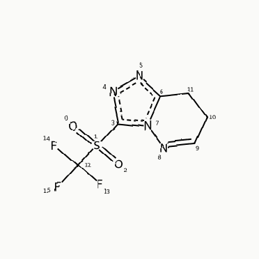 O=S(=O)(c1nnc2n1N=CCC2)C(F)(F)F